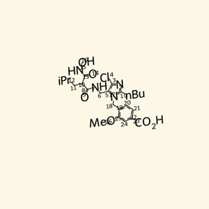 CCCCc1nc(Cl)c(CNC(=O)C(CC(C)C)C(=O)NO)n1Cc1ccc(C(=O)O)cc1OC